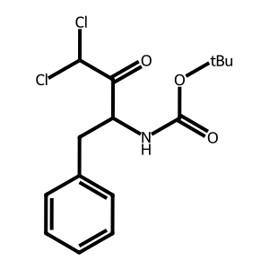 CC(C)(C)OC(=O)NC(Cc1ccccc1)C(=O)C(Cl)Cl